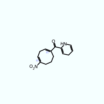 O=C(C1=CCC=CN1)/C1=C/C/C=C(/[N+](=O)[O-])CCC1